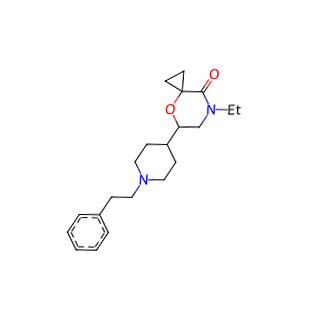 CCN1CC(C2CCN(CCc3ccccc3)CC2)OC2(CC2)C1=O